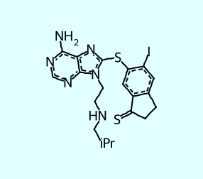 CC(C)CNCCn1c(Sc2cc3c(cc2I)CCC3=S)nc2c(N)ncnc21